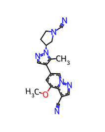 COc1cc(-c2cnn([C@H]3CCN(C#N)C3)c2C)cn2ncc(C#N)c12